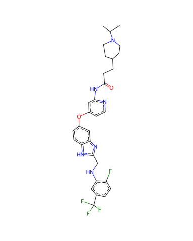 CC(C)N1CCC(CCC(=O)Nc2cc(Oc3ccc4[nH]c(CNc5cc(C(F)(F)F)ccc5F)nc4c3)ccn2)CC1